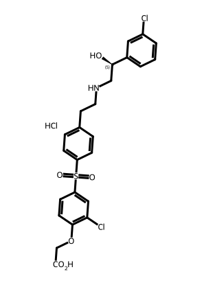 Cl.O=C(O)COc1ccc(S(=O)(=O)c2ccc(CCNC[C@@H](O)c3cccc(Cl)c3)cc2)cc1Cl